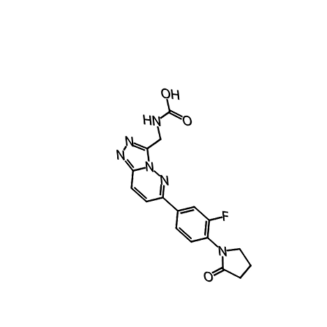 O=C(O)NCc1nnc2ccc(-c3ccc(N4CCCC4=O)c(F)c3)nn12